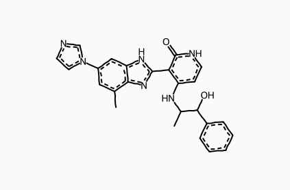 Cc1cc(-n2ccnc2)cc2[nH]c(-c3c(NC(C)C(O)c4ccccc4)cc[nH]c3=O)nc12